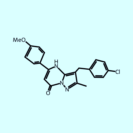 COc1ccc(-c2cc(=O)n3nc(C)c(Cc4ccc(Cl)cc4)c3[nH]2)cc1